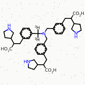 [2H]C([2H])(c1cccc(CC(C(=O)O)C2CCNC2)c1)N(Cc1cccc(CC(C(=O)O)C2CCNC2)c1)Cc1cccc(CC(C(=O)O)C2CCNC2)c1